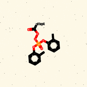 CCCCCCCC(=O)OOP(=O)(Oc1ccccc1C)Oc1ccccc1C